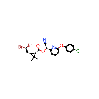 CC1(C)[C@H](C(=O)OC(C#N)c2cccc(Oc3ccc(Cl)cc3)n2)[C@@H]1C=C(Br)Br